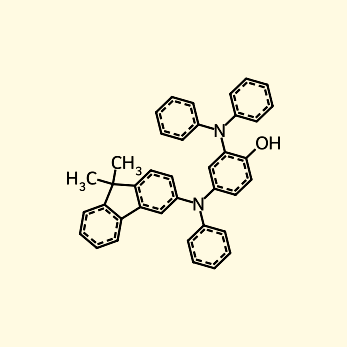 CC1(C)c2ccccc2-c2cc(N(c3ccccc3)c3ccc(O)c(N(c4ccccc4)c4ccccc4)c3)ccc21